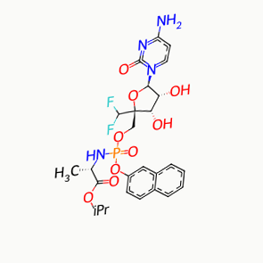 CC(C)OC(=O)[C@H](C)NP(=O)(OC[C@@]1(C(F)F)O[C@@H](n2ccc(N)nc2=O)[C@H](O)[C@@H]1O)Oc1ccc2ccccc2c1